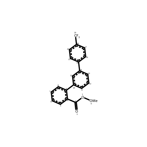 COOC(=O)c1ccccc1-c1cccc(-c2ccc(C(F)(F)F)cc2)c1